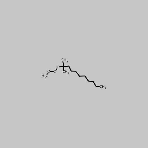 CCCCCCCCCC(C)(C)OOOC